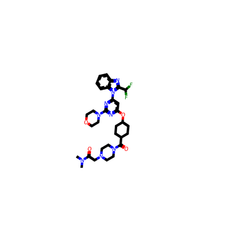 CN(C)C(=O)CN1CCN(C(=O)C2CCC(Oc3cc(-n4c(C(F)F)nc5ccccc54)nc(N4CCOCC4)n3)CC2)CC1